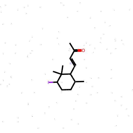 CC(=O)/C=C/C1C(C)CCC(I)C1(C)C